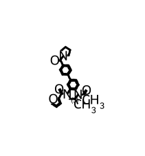 CC(=O)N1c2ccc(-c3ccc(C(=O)N4CCCC4)cc3)cc2N(C(=O)c2ccco2)C[C@@H]1C